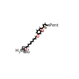 CCCCCc1ccc(-c2cc3ccc(OC/C=C/C/C=C/CCCO[Si](C)(C)C(C)(C)C)cc3o2)s1